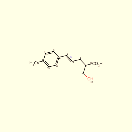 Cc1ccc(/C=C/CC(CO)C(=O)O)cc1